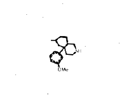 COc1cccc(C23CCNCC2CCC(C)C3)c1